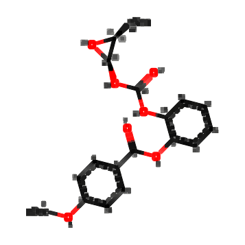 CCCCCCCCCCOc1ccc(C(=O)Oc2ccccc2OC(=O)O[C@H]2O[C@H]2CCCCCCCCC)cc1